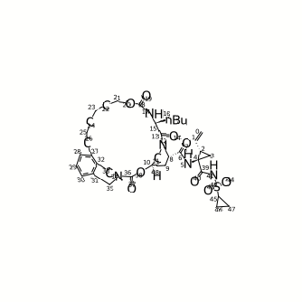 C=C[C@@H]1C[C@]1(NC(=O)[C@@H]1C[C@@H]2CN1C(=O)[C@H](CCCC)NC(=O)OCCCCCCc1cccc3c1CN(C3)C(=O)O2)C(=O)NS(=O)(=O)C1CC1